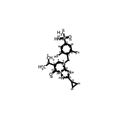 CC(C)c1cn(Cc2c(F)cc(S(C)(=N)=O)cc2F)c2nc(C3CC3)nn2c1=O